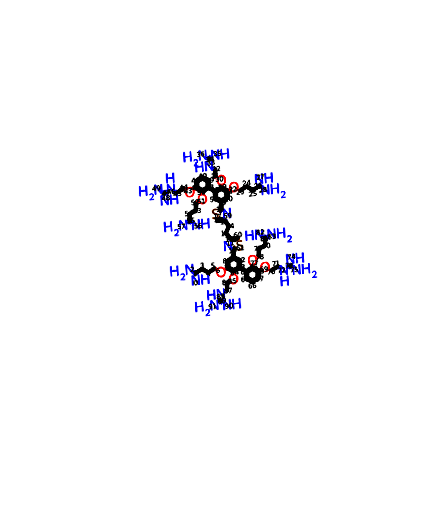 N=C(N)CCCOc1cc(-c2nc(CCc3csc(-c4cc(OCCCC(=N)N)c(OCCNC(=N)N)c(-c5cccc(OCCNC(=N)N)c5OCCCC(=N)N)c4)n3)cs2)cc(-c2cccc(OCCNC(=N)N)c2OCCCC(=N)N)c1OCCNC(=N)N